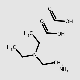 CCN(CC)CC.N.O=CO.O=CO